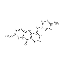 O=C(O)c1ccc2nc3c(c(=O)n2c1)CCCC3=Cc1ccc([N+](=O)[O-])cc1